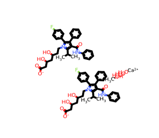 CC(C)c1c(C(=O)Nc2ccccc2)c(-c2ccccc2)c(-c2ccc(F)cc2)n1CCC(O)CC(O)CC(=O)[O-].CC(C)c1c(C(=O)Nc2ccccc2)c(-c2ccccc2)c(-c2ccc(F)cc2)n1CCC(O)CC(O)CC(=O)[O-].CO.O.O.O.[Ca+2]